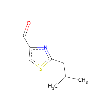 CC(C)Cc1nc(C=O)cs1